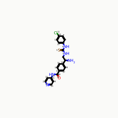 NC(CNC(=S)Nc1ccc(Cl)cc1)c1ccc(C(=O)Nc2ccncc2)cc1